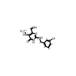 CNc1c(C=N)nc(NCc2cccc(Cl)c2)[nH]c1=O